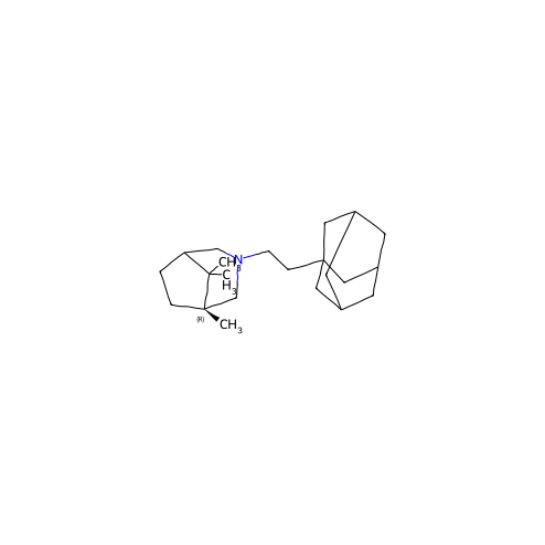 CC1(C)C2CC[C@@]1(C)CN(CCC13CC4CC(CC(C4)C1)C3)C2